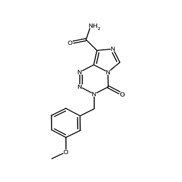 COc1cccc(Cn2nnc3c(C(N)=O)ncn3c2=O)c1